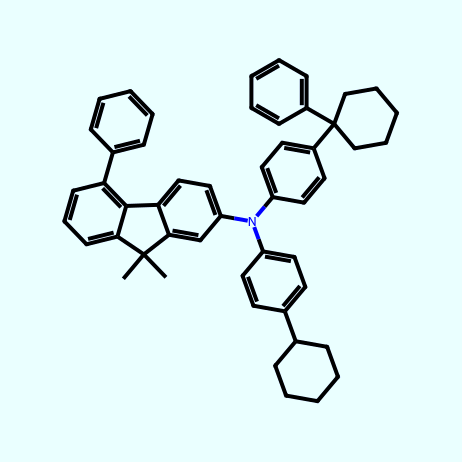 CC1(C)c2cc(N(c3ccc(C4CCCCC4)cc3)c3ccc(C4(c5ccccc5)CCCCC4)cc3)ccc2-c2c(-c3ccccc3)cccc21